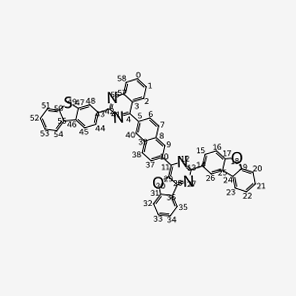 c1ccc2c(-c3ccc4cc(-c5nc(-c6ccc7oc8ccccc8c7c6)nc6c5oc5ccccc56)ccc4c3)nc(-c3ccc4c(c3)sc3ccccc34)nc2c1